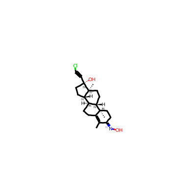 CC1=C2CC[C@@H]3[C@H](CC[C@@]4(C)[C@H]3CC[C@@]4(O)C#CCl)[C@@]2(C)CC/C1=N\O